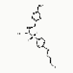 COc1ccc(CNC(C(=O)O)S(=O)(=O)c2ccc(OCCCCl)cc2)cc1